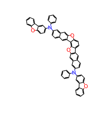 c1ccc(N(c2ccc3cc4c(cc3c2)oc2c4ccc3oc4cc5cc(N(c6ccccc6)c6ccc7oc8ccccc8c7c6)ccc5cc4c32)c2ccc3oc4ccccc4c3c2)cc1